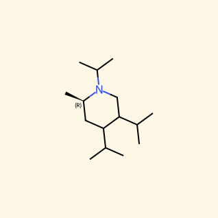 CC(C)C1C[C@@H](C)N(C(C)C)CC1C(C)C